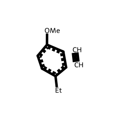 C#C.CCc1ccc(OC)cc1